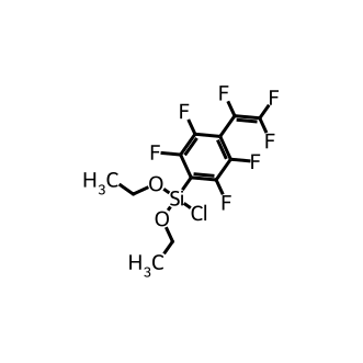 CCO[Si](Cl)(OCC)c1c(F)c(F)c(C(F)=C(F)F)c(F)c1F